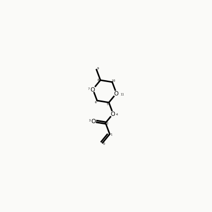 C=CC(=O)OC1COC(C)CO1